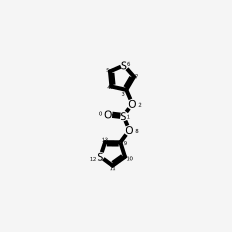 O=S(Oc1ccsc1)Oc1ccsc1